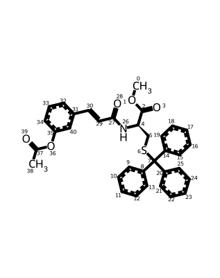 COC(=O)[C@@H](CSC(c1ccccc1)(c1ccccc1)c1ccccc1)NC(=O)/C=C/c1cccc(OC(C)=O)c1